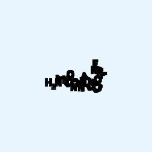 CC(N)CN1CCc2nc3c(cc2C1=O)nc(-c1cc2cccc(OCC(C)n4cnc(F)c4)c2n1CC1CC1)n3C